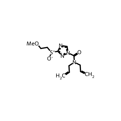 C=CCN(CC=C)C(=O)n1cnc([S+]([O-])CCOC)n1